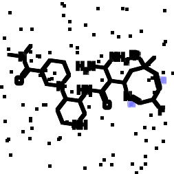 CCC1(C)/C=C\C(F)/C=N\C(C(C(=O)NC2CNCCC2N2CCCC(C(=O)N(C)C)C2)C(N)N)C1